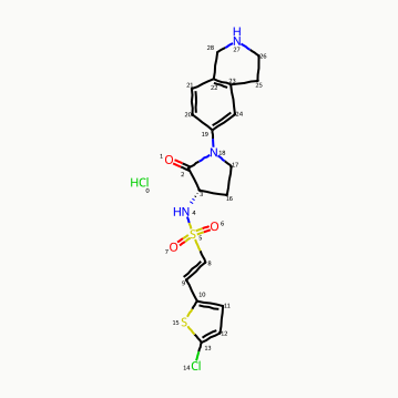 Cl.O=C1[C@@H](NS(=O)(=O)/C=C/c2ccc(Cl)s2)CCN1c1ccc2c(c1)CCNC2